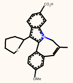 COc1ccc2c(c1)C=C(C)Cn1c-2c(C2CCCCC2)c2ccc(C(=O)O)cc21